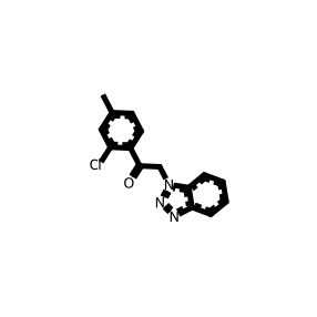 Cc1ccc(C(=O)Cn2nnc3ccccc32)c(Cl)c1